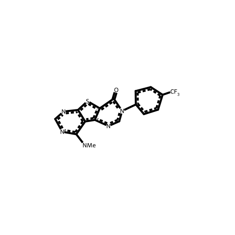 CNc1ncnc2sc3c(=O)n(-c4ccc(C(F)(F)F)cc4)cnc3c12